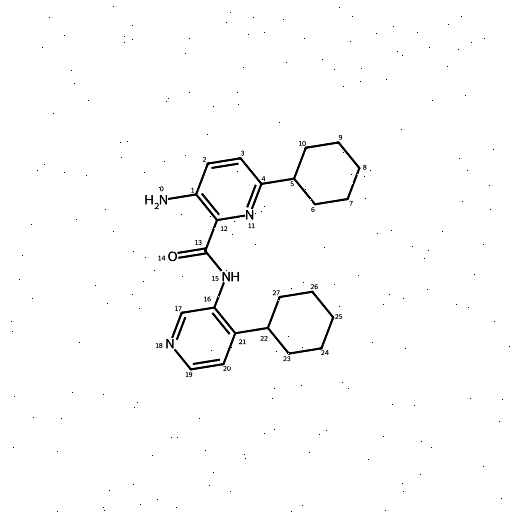 Nc1ccc(C2CCCCC2)nc1C(=O)Nc1cnccc1C1CCCCC1